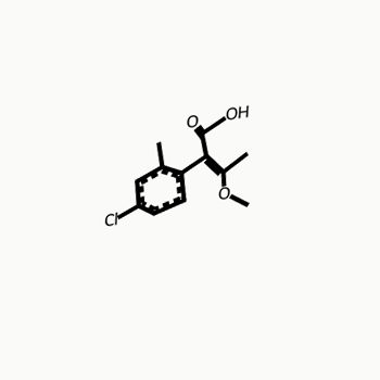 COC(C)=C(C(=O)O)c1ccc(Cl)cc1C